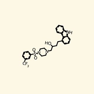 O=S(=O)(c1cccc(C(F)(F)F)c1)N1CCN(CC(O)CCc2cccc3[nH]c4ccccc4c23)CC1